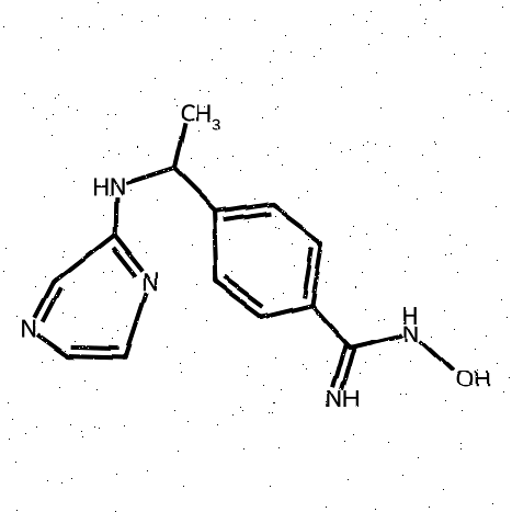 CC(Nc1cnccn1)c1ccc(C(=N)NO)cc1